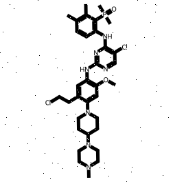 COc1cc(N2CCC(N3CCN(C)CC3)CC2)c(CCCl)cc1Nc1ncc(Cl)c(Nc2ccc(C)c(C)c2P(C)(C)=O)n1